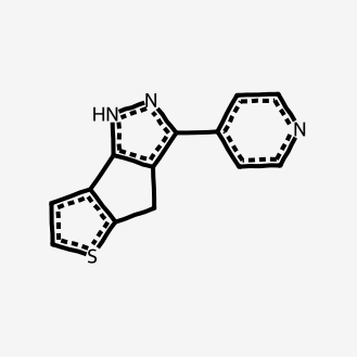 c1cc(-c2n[nH]c3c2Cc2sccc2-3)ccn1